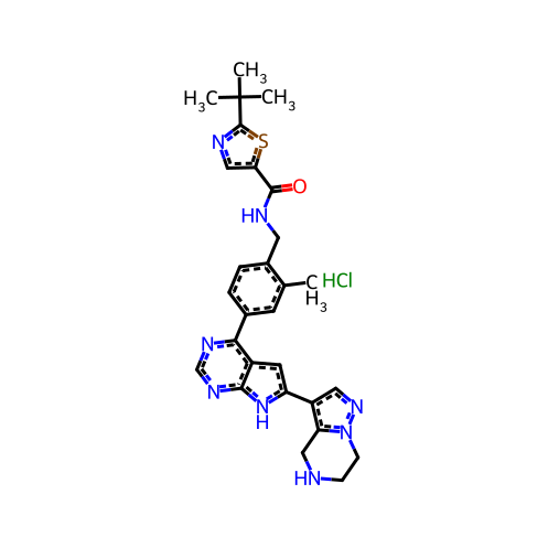 Cc1cc(-c2ncnc3[nH]c(-c4cnn5c4CNCC5)cc23)ccc1CNC(=O)c1cnc(C(C)(C)C)s1.Cl